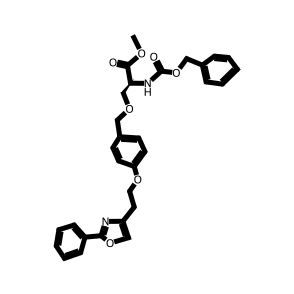 COC(=O)[C@H](COCc1ccc(OCCc2coc(-c3ccccc3)n2)cc1)NC(=O)OCc1ccccc1